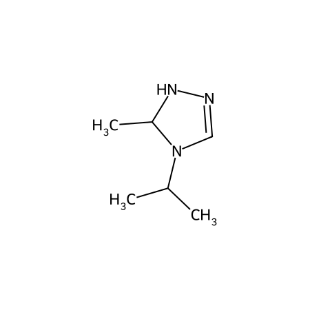 CC(C)N1C=NNC1C